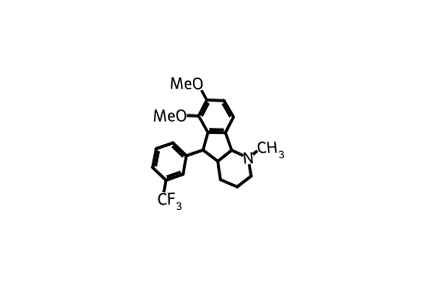 COc1ccc2c(c1OC)C(c1cccc(C(F)(F)F)c1)C1CCCN(C)C21